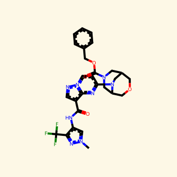 Cn1cc(NC(=O)c2cnn3ccc(N4CC5COCC4CN(C(=O)OCc4ccccc4)C5)nc23)c(C(F)(F)F)n1